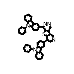 c1ccc(-n2c3ccccc3c3cc(-c4cncc5c4sc4c(-c6ccc7c(c6)c6ccccc6n7-c6ccccc6)nncc45)ccc32)cc1